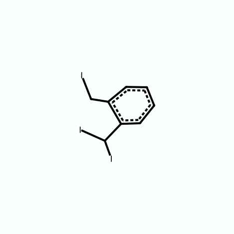 ICc1ccccc1C(I)I